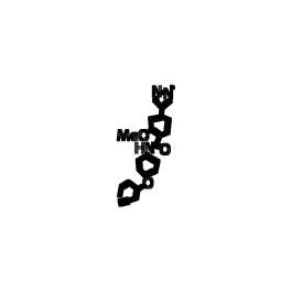 C#C/C=C(\C=C/C)Oc1ccc(NC(=O)c2ccc(-c3cnn(C)c3)cc2OC)cc1